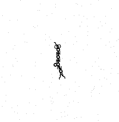 CCCCN(CCCC)c1ccc(N=Nc2ccc(N=Nc3ccc(N=Nc4ccc(S(=O)(=O)CCCC)cc4)cc3)c3ccccc23)cc1